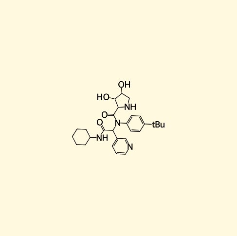 CC(C)(C)c1ccc(N(C(=O)C2NCC(O)C2O)C(C(=O)NC2CCCCC2)c2cccnc2)cc1